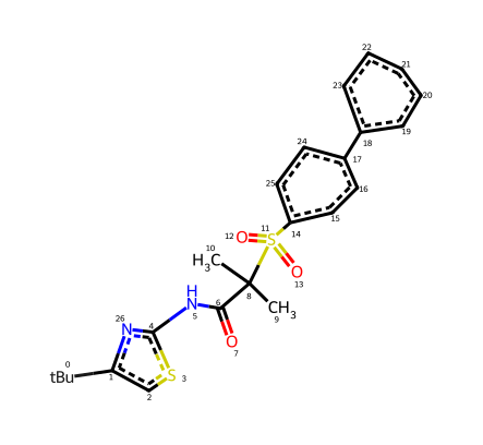 CC(C)(C)c1csc(NC(=O)C(C)(C)S(=O)(=O)c2ccc(-c3ccccc3)cc2)n1